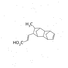 CC1C(/C=C/C(=O)O)C2CC1C1C3C=CC(C3)C21